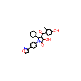 Cc1cc(O)ccc1C(=O)C1=C(O)C(=O)N(c2ccc(-c3ccon3)cc2)C1C1CCCCC1